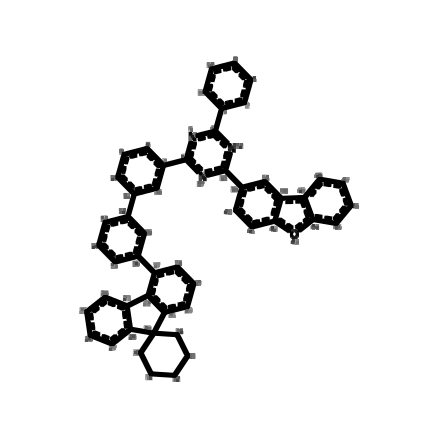 c1ccc(-c2nc(-c3cccc(-c4cccc(-c5cccc6c5-c5ccccc5C65CCCCC5)c4)c3)nc(-c3ccc4oc5ccccc5c4c3)n2)cc1